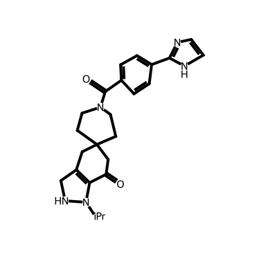 CC(C)N1NCC2=C1C(=O)CC1(CCN(C(=O)c3ccc(-c4ncc[nH]4)cc3)CC1)C2